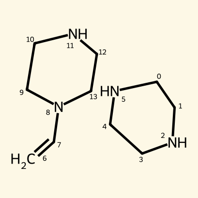 C1CNCCN1.C=CN1CCNCC1